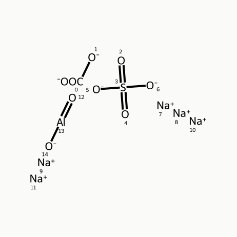 O=C([O-])[O-].O=S(=O)([O-])[O-].[Na+].[Na+].[Na+].[Na+].[Na+].[O]=[Al][O-]